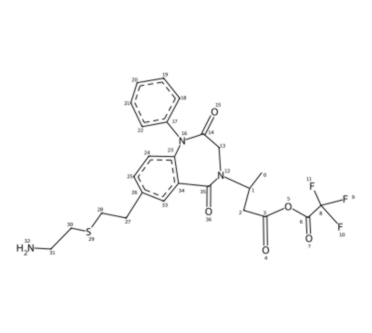 CC(CC(=O)OC(=O)C(F)(F)F)N1CC(=O)N(c2ccccc2)c2ccc(CCSCCN)cc2C1=O